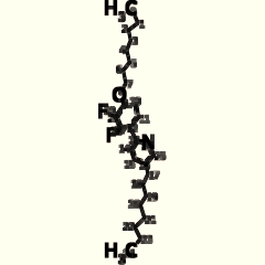 CCCCCCCCOc1ccc(-c2ccc(CCCCCCCC)cn2)c(F)c1F